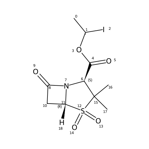 C[C](I)OC(=O)[C@@H]1N2C(=O)C[C@H]2S(=O)(=O)C1(C)C